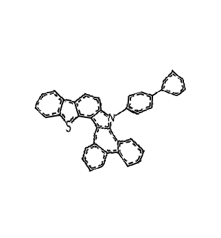 c1ccc(-c2ccc(-n3c4ccc5c6ccccc6sc5c4c4c5ccccc5c5ccccc5c43)cc2)cc1